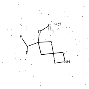 COC1(C(F)F)CC2(CNC2)C1.Cl